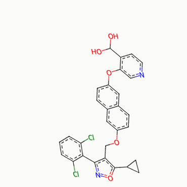 OC(O)c1ccncc1Oc1ccc2cc(OCc3c(-c4c(Cl)cccc4Cl)noc3C3CC3)ccc2c1